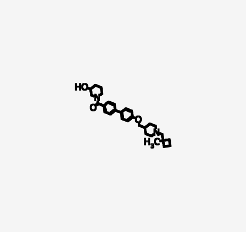 CC1(CN2CCC(COc3ccc(-c4ccc(C(=O)N5CCCC(O)C5)cc4)cc3)CC2)CCC1